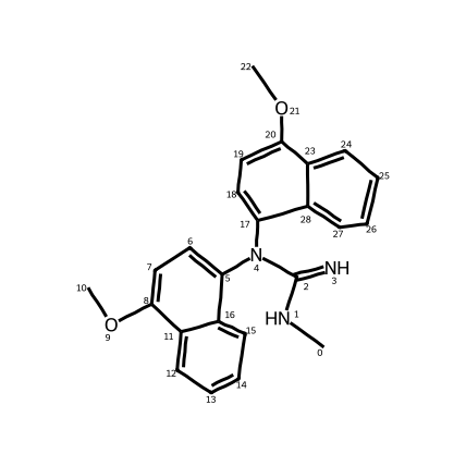 CNC(=N)N(c1ccc(OC)c2ccccc12)c1ccc(OC)c2ccccc12